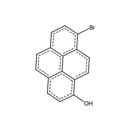 Oc1ccc2ccc3ccc(Br)c4ccc1c2c34